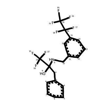 OC(Cc1ccccc1)(NCc1cccc(C(F)(F)C(F)(F)F)c1)C(F)(F)F